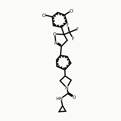 O=C(NC1CC1)N1CC(c2ccc(C3=NOC(c4cc(Cl)cc(Cl)c4)(C(F)(F)F)C3)cc2)C1